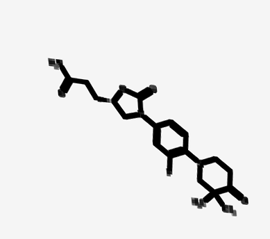 CC1(C)CN(c2ccc(N3C[C@H](CCC(N)=O)OC3=O)cc2F)CCC1=O